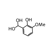 COc1cccc(C(O)O)c1O